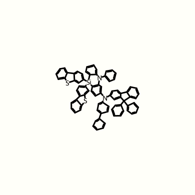 c1ccc(-c2ccc(N(c3ccc4c(c3)N(c3ccccc3)c3ccccc3[Si]4(c3ccc4c(c3)sc3ccccc34)c3ccc4c(c3)sc3ccccc34)c3ccc4c(c3)C(c3ccccc3)(c3ccccc3)c3ccccc3-4)cc2)cc1